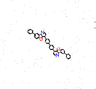 c1ccc(-c2ccc3oc4c(-c5ccc(-c6ccc(-c7ccnc8c7oc7ccc(-c9ccccc9)cc78)cc6)cc5)ccnc4c3c2)cc1